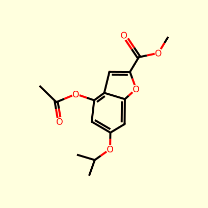 COC(=O)c1cc2c(OC(C)=O)cc(OC(C)C)cc2o1